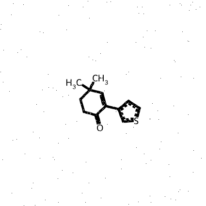 CC1(C)C=C(c2ccsc2)C(=O)CC1